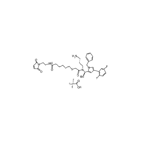 CC(C)(C)[C@H](c1cc(-c2cc(F)ccc2F)cn1Cc1ccccc1)N(CCCN)C(=O)CSCCCCCC(=O)NCCN1C(=O)C=CC1=O.O=C(O)C(F)(F)F